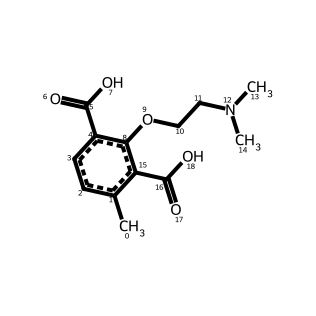 Cc1ccc(C(=O)O)c(OCCN(C)C)c1C(=O)O